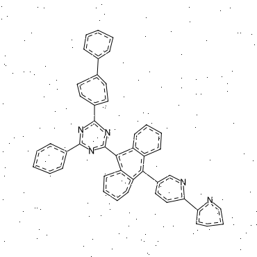 c1ccc(-c2ccc(-c3nc(-c4ccccc4)nc(-c4c5ccccc5c(-c5ccc(-c6ccccn6)nc5)c5ccccc45)n3)cc2)cc1